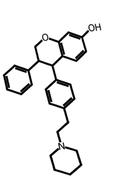 Oc1ccc2c(c1)OCC(c1ccccc1)C2c1ccc(CCN2CCCCC2)cc1